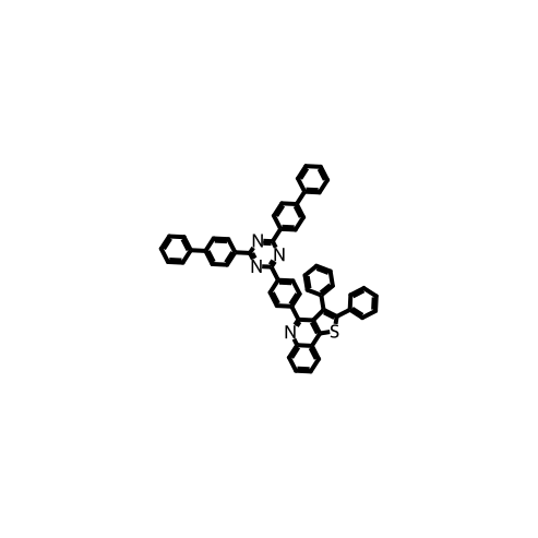 c1ccc(-c2ccc(-c3nc(-c4ccc(-c5ccccc5)cc4)nc(-c4ccc(-c5nc6ccccc6c6sc(-c7ccccc7)c(-c7ccccc7)c56)cc4)n3)cc2)cc1